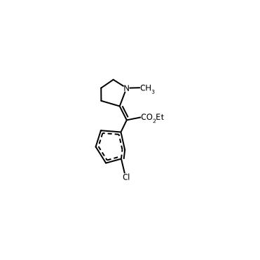 CCOC(=O)C(=C1CCCN1C)c1cccc(Cl)c1